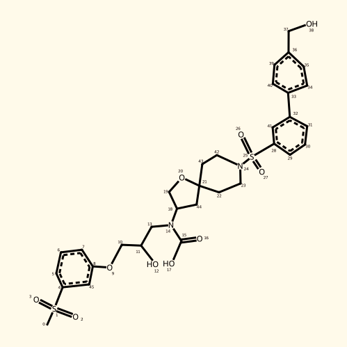 CS(=O)(=O)c1cccc(OCC(O)CN(C(=O)O)C2COC3(CCN(S(=O)(=O)c4cccc(-c5ccc(CO)cc5)c4)CC3)C2)c1